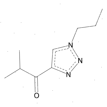 CCCn1cc(C(=O)C(C)C)nn1